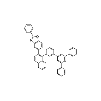 c1ccc(-c2cc(-c3cccc(-c4c(-c5ccc6oc(-c7ccccc7)nc6c5)ccc5ccccc45)c3)cc(-c3ccccc3)n2)cc1